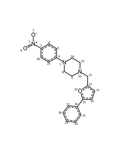 O=[N+]([O-])c1ccc(N2CCN(Cc3ccc(-c4ccccc4)o3)CC2)cc1